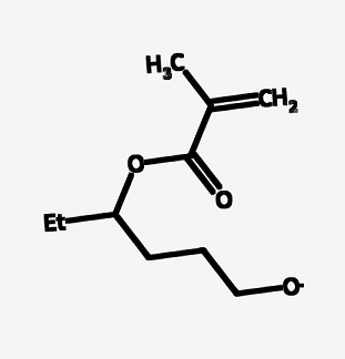 C=C(C)C(=O)OC(CC)CCC[O]